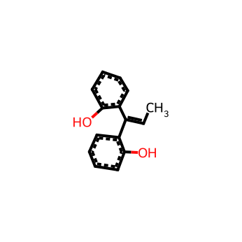 CC=C(c1ccccc1O)c1ccccc1O